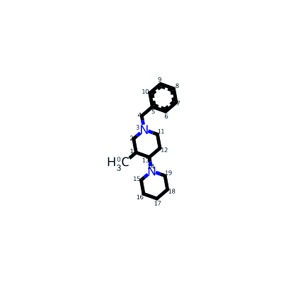 CC1CN(Cc2ccccc2)CCC1N1CCCCC1